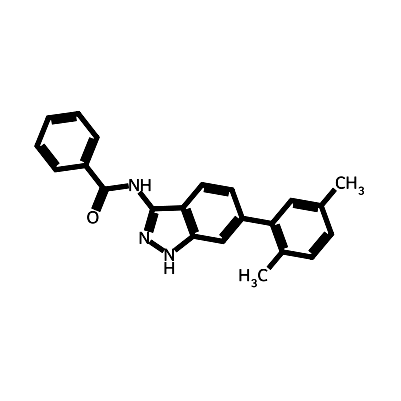 Cc1ccc(C)c(-c2ccc3c(NC(=O)c4ccccc4)n[nH]c3c2)c1